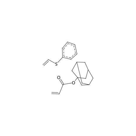 C=CC(=O)OC12CC3CC(CC(C3)C1)C2.C=CSc1ccccc1